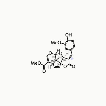 COC(=O)C1=CO[C@@H]2O[C@H]3/C(=C\c4ccc(O)c(OC)c4)C(=O)O[C@]34C=C[C@H]1[C@H]24